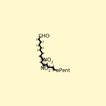 CCCCC/C=C/C/C=C(/C/C(=C/CCCCCC[C]=O)[N+](=O)[O-])[N+](=O)[O-]